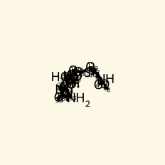 CCOC(=O)NCCC(C)(C)C(=O)SCCOP1(=O)OC[C@H]2O[C@@H](n3cnc4c(OC)nc(N)nc43)[C@](C)(O)[C@@H]2O1